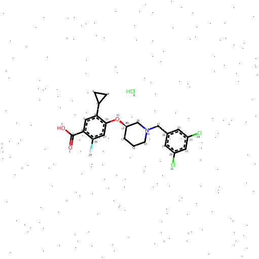 Cl.O=C(O)c1cc(C2CC2)c(O[C@@H]2CCCN(Cc3cc(Cl)cc(Cl)c3)C2)cc1F